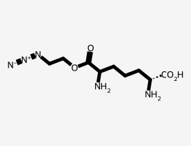 [N-]=[N+]=NCCOC(=O)C(N)CCC[C@@H](N)C(=O)O